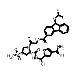 C[C@@H](NC(=O)[C@@H]1C[C@@H](S(C)(=O)=O)CN1C(=O)CNC(=O)c1ccc2c(c1)-c1ccccc1C2OC(F)F)c1cc(C(=N)N)cs1